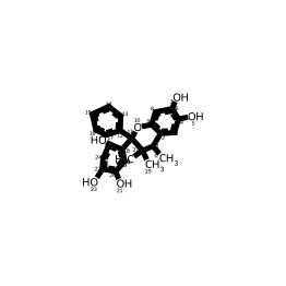 CC1c2cc(O)c(O)cc2OC(c2ccccc2)(c2cc(O)c(O)cc2O)C1(C)C